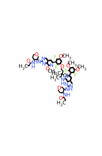 C=CC(=O)N[C@H]1CCOC[C@H]1Nc1ncc2cc(-c3c(F)c(OC)cc(OC)c3F)nc(NC(C)C(C)(C)CCOc3cc(OC)c(F)c(-c4cc5cnc(N[C@@H]6COCC[C@@H]6NC(=O)C=C)nc5c(OC)n4)c3F)c2n1